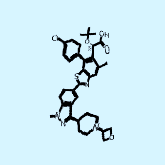 Cc1cc2nc(-c3ccc4c(c3)c(C3CCN(C5COC5)CC3)nn4C)sc2c(-c2ccc(Cl)cc2)c1[C@H](OC(C)(C)C)C(=O)O